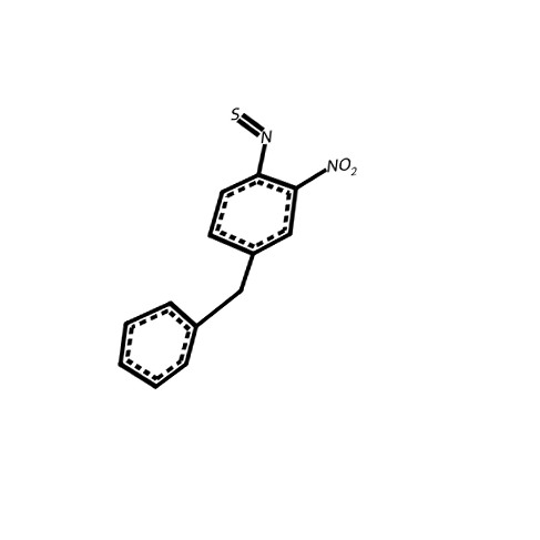 O=[N+]([O-])c1cc(Cc2ccccc2)ccc1N=S